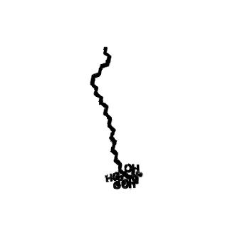 CC/C=C\CC/C=C\CCCCCCCCCCCCCCCCC(O)(C[N+](C)(C)C)P(=O)(O)O